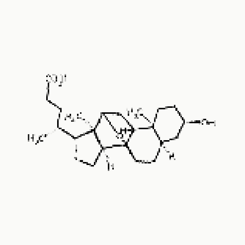 C[C@H](CCC(=O)O)[C@H]1CC[C@@H]2C3C4C[C@@H]5C[C@H](O)CC[C@]5(C)[C@H]3CC(O4)[C@@]21C